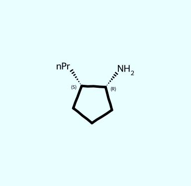 CCC[C@H]1CCC[C@H]1N